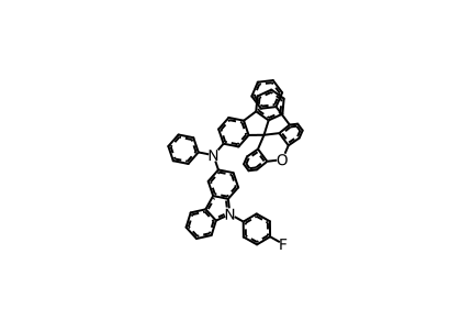 Fc1ccc(-n2c3ccccc3c3cc(N(c4ccccc4)c4ccc5c(c4)C4(c6ccccc6Oc6cccc(-c7ccccc7)c64)c4ccccc4-5)ccc32)cc1